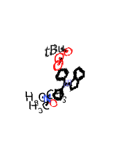 CC(Oc1ccc(/C(=C2\CCc3ccccc32)c2ccc(OCOC(=O)C(C)(C)C)cc2)cc1)N(C)C